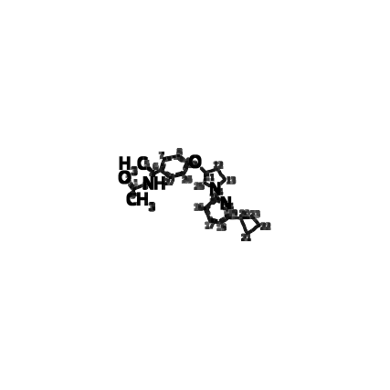 CC(=O)N[C@@H](C)c1ccc(OC2CCN(c3cccc(C4CCC4)n3)C2)cc1